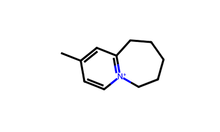 Cc1cc[n+]2c(c1)CCCCC2